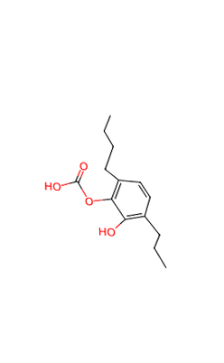 CCCCc1ccc(CCC)c(O)c1OC(=O)O